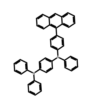 c1ccc(N(c2ccccc2)c2ccc(N(c3ccccc3)c3ccc(-c4c5ccccc5cc5ccccc45)cc3)cc2)cc1